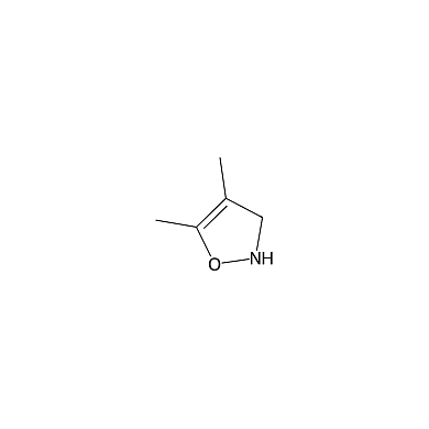 CC1=C(C)ONC1